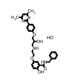 Cc1cc(C)nc(-c2ccc(OCC(O)CNCCOc3ccc(O)c(C(=O)NCc4ccccc4)c3)cc2)n1.Cl